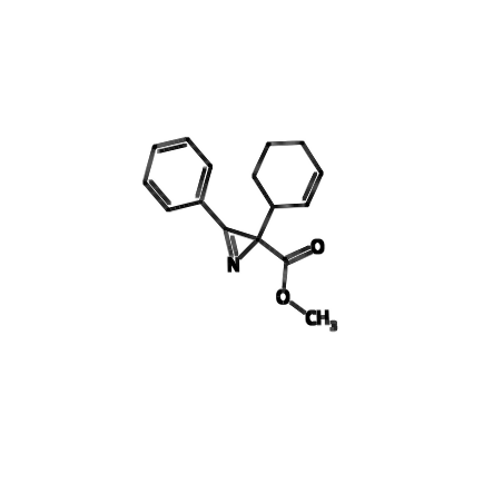 COC(=O)C1(C2C=CCCC2)N=C1c1ccccc1